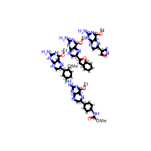 CCOc1nc(N)nc2ncc(-c3cc(F)ccc3OC)nc12.CCOc1nc(N)nc2ncc(-c3cc4ccccc4o3)nc12.CCOc1nc(N)nc2ncc(-c3ccc(NC(=O)OC)cc3)nc12.CCOc1nc(N)nc2ncc(-c3cnoc3)nc12